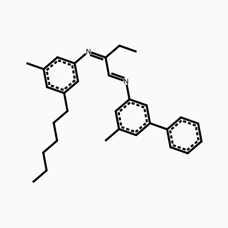 CCCCCCc1cc(C)cc(N=C(C=Nc2cc(C)cc(-c3ccccc3)c2)CC)c1